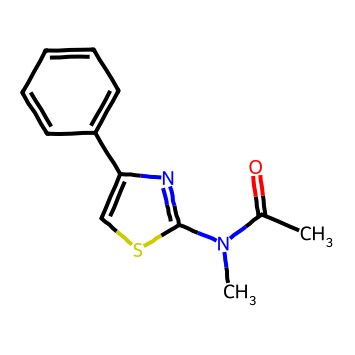 CC(=O)N(C)c1nc(-c2ccccc2)cs1